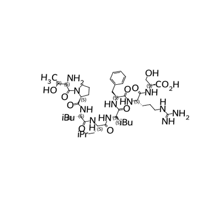 CC[C@H](C)[C@H](NC(=O)[C@H](CC(C)C)NC(=O)[C@@H](NC(=O)[C@@H]1CCCN1C(=O)[C@@H](N)[C@@H](C)O)[C@@H](C)CC)C(=O)N[C@@H](Cc1ccccc1)C(=O)N[C@@H](CCCNC(=N)N)C(=O)N[C@@H](CO)C(=O)O